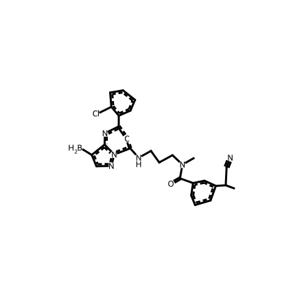 Bc1cnn2c(NCCCN(C)C(=O)c3cccc(C(C)C#N)c3)cc(-c3ccccc3Cl)nc12